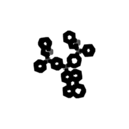 c1ccc2oc(N(c3ccccc3)c3ccc(N(C4=CC=C(N(c5ccccc5)c5cc6c(o5)CCC=C6)CCC4)c4ccc5c6cccc7c6c(c6cccc4c65)=CC=CC7)cc3)cc2c#1